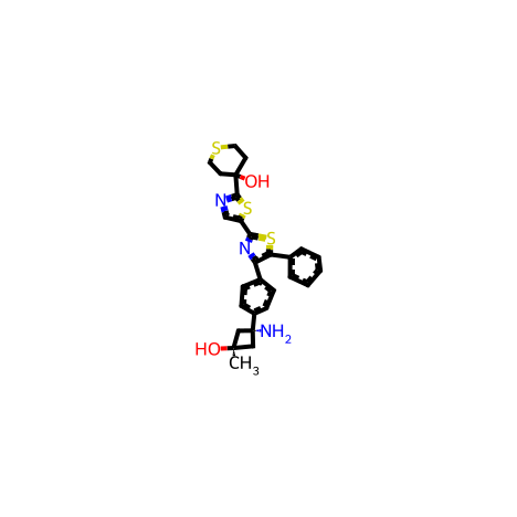 C[C@]1(O)C[C@@](N)(c2ccc(-c3nc(-c4cnc(C5(O)CCSCC5)s4)sc3-c3ccccc3)cc2)C1